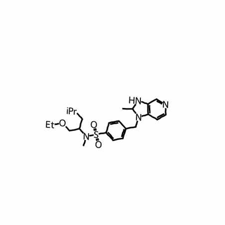 CCOCC(CC(C)C)N(C)S(=O)(=O)c1ccc(CN2c3ccncc3NC2C)cc1